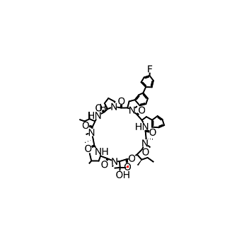 CCC(C)C1NC(=O)[C@@H]2CCCN2C(=O)C(Cc2cccc(-c3ccc(F)cc3)c2)N(C)C(=O)C(Cc2ccccc2)NC(=O)[C@H](C)N(C)C(=O)C([C@H](C)CC)OC(=O)C(C(C)(C)O)N(C)C(=O)C(CC(C)C)NC(=O)[C@H](C)N(C)C1=O